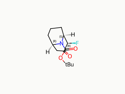 CC(C)(C)OC(=O)N1[C@@H]2CCC[C@H]1[C@@H](F)C(=O)C2